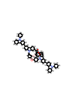 CC(C)c1cc2c3c(c1)C(C)c1ccc4c5cc(-c6ccc7c(c6)c6ccccc6n7-c6ccccc6)ccc5n(c4c1)-c1ccc4c(c1)B3c1cc(ccc1O4)-n1c3ccc(-c4ccc5c(c4)c4ccccc4n5-c4ccccc4)cc3c3ccc(cc31)C2C